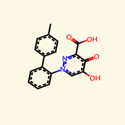 Cc1ccc(-c2ccccc2-n2cc(O)c(=O)c(C(=O)O)n2)cc1